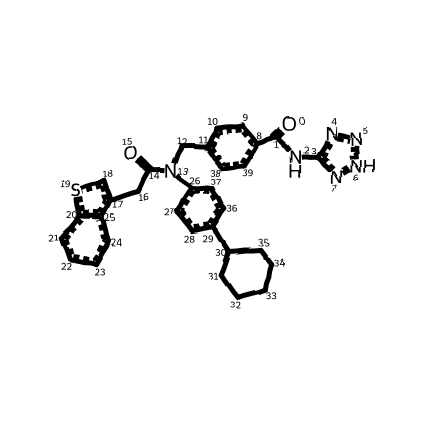 O=C(Nc1nn[nH]n1)c1ccc(CN(C(=O)Cc2csc3ccccc23)c2ccc(C3CCCCC3)cc2)cc1